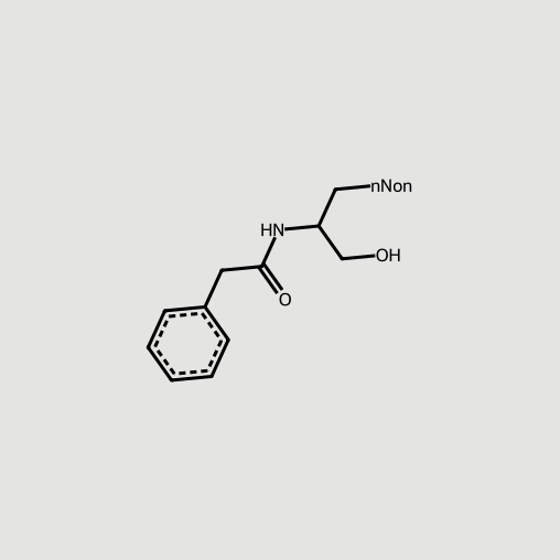 CCCCCCCCCCC(CO)NC(=O)Cc1ccccc1